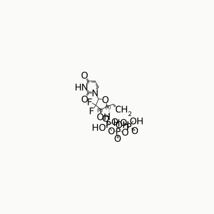 C=C[C@]1(COP(=O)(O)OP(=O)(O)OP(=O)(O)O)OC(n2ccc(=O)[nH]c2=O)C(F)(F)[C@@H]1O